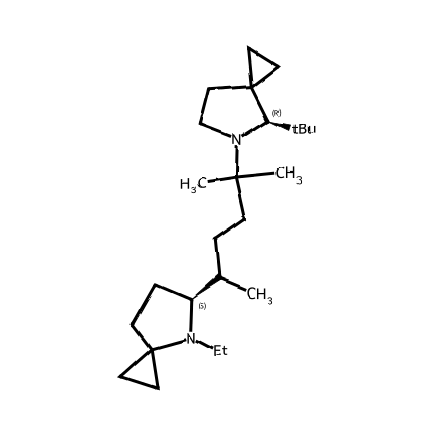 CCN1[C@H](C(C)CCC(C)(C)N2CCC3(CC3)[C@H]2C(C)(C)C)CCC12CC2